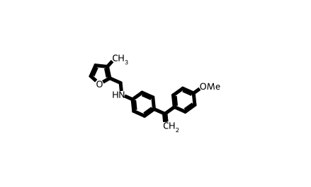 C=C(c1ccc(NCc2occc2C)cc1)c1ccc(OC)cc1